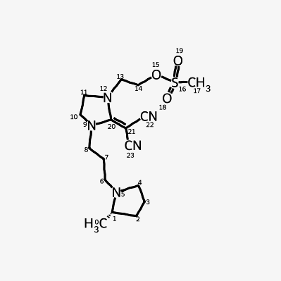 C[C@H]1CCCN1CCCN1CCN(CCOS(C)(=O)=O)C1=C(C#N)C#N